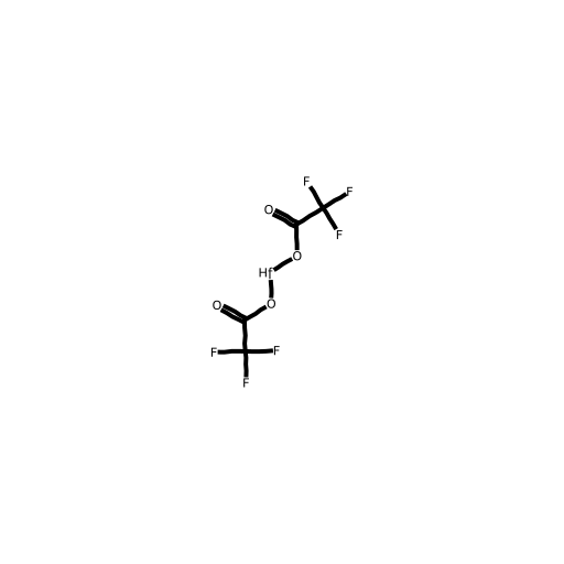 O=C([O][Hf][O]C(=O)C(F)(F)F)C(F)(F)F